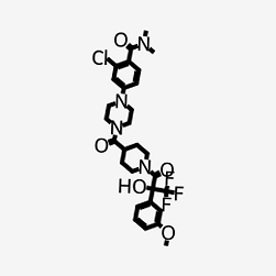 COc1cccc(C(O)(C(=O)N2CCC(C(=O)N3CCN(c4ccc(C(=O)N(C)C)c(Cl)c4)CC3)CC2)C(F)(F)F)c1